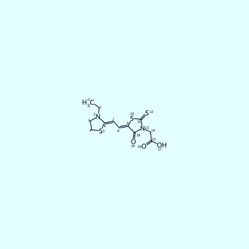 CCN1CCSC1=CC=C1SC(=S)N(CC(=O)O)C1=O